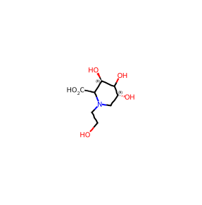 O=C(O)C1[C@@H](O)C(O)[C@H](O)CN1CCO